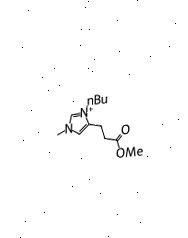 CCCC[n+]1cn(C)cc1CCC(=O)OC